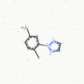 Cc1ccc([SiH3])cc1-n1nccn1